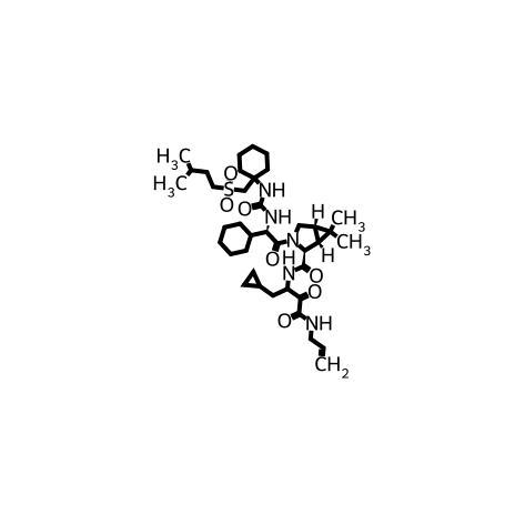 C=CCNC(=O)C(=O)C(CC1CC1)NC(=O)[C@@H]1[C@@H]2[C@H](CN1C(=O)[C@@H](NC(=O)NC1(CS(=O)(=O)CCC(C)C)CCCCC1)C1CCCCC1)C2(C)C